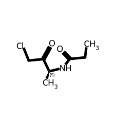 CCC(=O)N[C@@H](C)C(=O)CCl